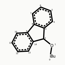 CCC(C)OC1c2ccccc2-c2ccccc21